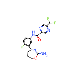 NC1=N[C@H](c2cc(NC(=O)c3cnc(C(F)F)cn3)ccc2F)CCCO1